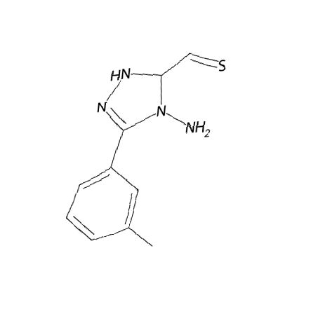 Cc1cccc(C2=NNC(C=S)N2N)c1